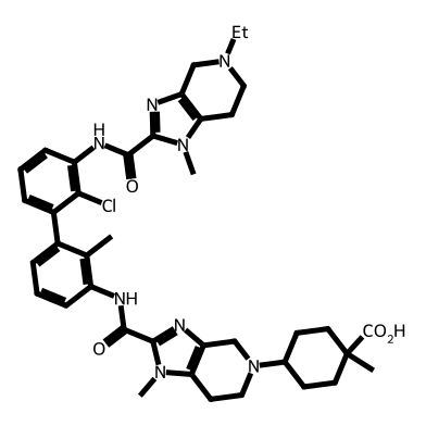 CCN1CCc2c(nc(C(=O)Nc3cccc(-c4cccc(NC(=O)c5nc6c(n5C)CCN(C5CCC(C)(C(=O)O)CC5)C6)c4C)c3Cl)n2C)C1